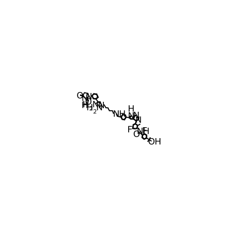 Cc1c(NC(=O)c2ccc(C(C)(C)O)cc2F)cc(F)cc1-c1ncnc2[nH]c(-c3ccc(CNCCCCCCN(N)/C=C(\N)c4cccc(N5CCC(=O)NC5=O)c4)cc3)cc12